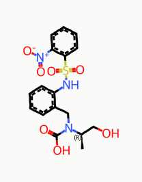 C[C@H](CO)N(Cc1ccccc1NS(=O)(=O)c1ccccc1[N+](=O)[O-])C(=O)O